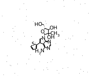 CC1(O)C(O)[C@@H](CO)O[C@H]1n1cc(-c2cccs2)c2c(N)ncnc21